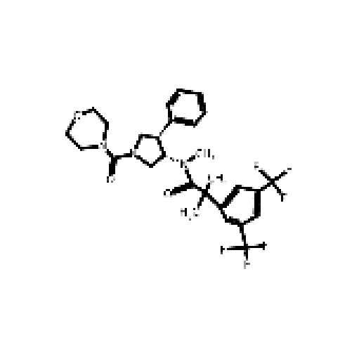 CN(C(=O)C(C)(C)c1cc(C(F)(F)F)cc(C(F)(F)F)c1)[C@@H]1CN(C(=O)N2CCOCC2)C[C@H]1c1ccccc1